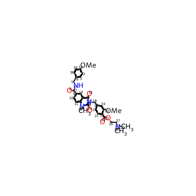 COc1ccc(CNC(=O)c2ccc3c(c2)c(=O)n(Cc2ccc(C(=O)OCCN(C)C)c(OC)c2)c(=O)n3C)cc1